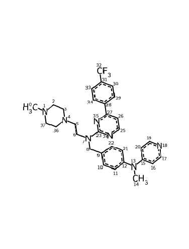 CN1CCN(CCN(Cc2ccc(N(C)c3ccncc3)cc2)c2nccc(-c3ccc(C(F)(F)F)cc3)n2)CC1